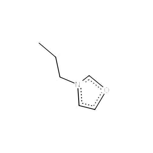 CCC[n+]1ccoc1